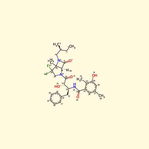 CC[C@H](C)CN1C(=O)[C@H]2N(C(=O)[C@@H](O)[C@H](Cc3ccccc3)NC(=O)c3cc(C)cc(O)c3C)CC(F)(F)C21C